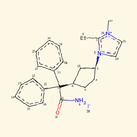 CCc1n([C@H]2CC[C@@H](C(C(N)=O)(c3ccccc3)c3ccccc3)C2)cc[n+]1C.[I-]